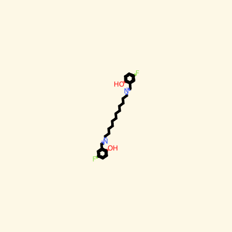 Oc1ccc(F)cc1/C=N/CCCCCCCCCCCC/N=C/c1cc(F)ccc1O